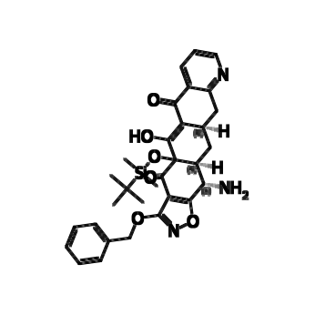 CC(C)(C)[Si](C)(C)OC12C(=O)c3c(OCc4ccccc4)noc3[C@@H](N)[C@@H]1C[C@@H]1Cc3ncccc3C(=O)C1=C2O